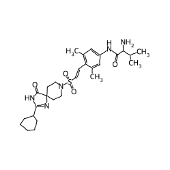 Cc1cc(NC(=O)C(N)C(C)C)cc(C)c1C=CS(=O)(=O)N1CCC2(CC1)N=C(C1CCCCC1)NC2=O